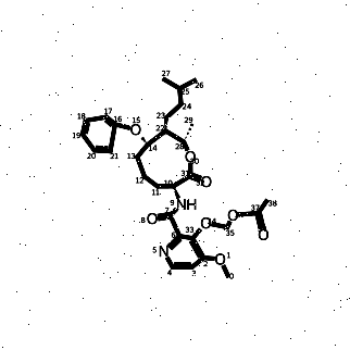 COc1ccnc(C(=O)N[C@H]2CCC[C@H](Oc3ccccc3)[C@@H](CCC(C)C)[C@H](C)OC2=O)c1OCOC(C)=O